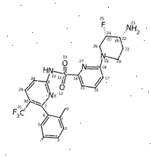 Cc1ccccc1-c1nc(NS(=O)(=O)c2cccc(N3CC[C@@H](N)[C@@H](F)C3)n2)ccc1C(F)(F)F